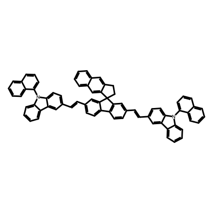 C(=C\c1ccc2c(c1)c1ccccc1n2-c1cccc2ccccc12)/c1ccc2c(c1)C1(CCc3cc4ccccc4cc31)c1cc(/C=C/c3ccc4c(c3)c3ccccc3n4-c3cccc4ccccc34)ccc1-2